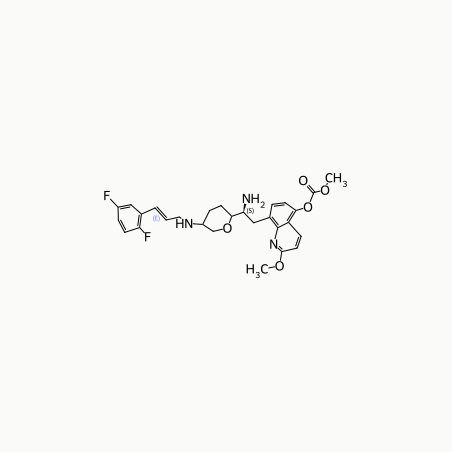 COC(=O)Oc1ccc(C[C@H](N)C2CCC(NC/C=C/c3cc(F)ccc3F)CO2)c2nc(OC)ccc12